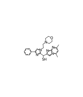 Cc1cc(C)n2cc(C(S)c3nc(-c4ccccc4)cn3CCN3CCOCC3)nc2n1